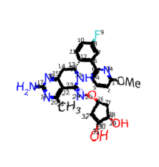 COc1cccc(-c2cc(F)ccc2[C@H]2Cc3nc(N)nc(C)c3/C(=N/OC3C[C@@H](O)[C@@H](O)C3)N2)n1